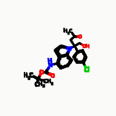 CC(=O)CC(CO)(c1ccc(Cl)cc1)n1ccc2c(NC(=O)OC(C)(C)C)cccc21